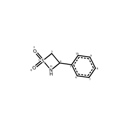 O=S1(=O)CC(c2ccccc2)N1